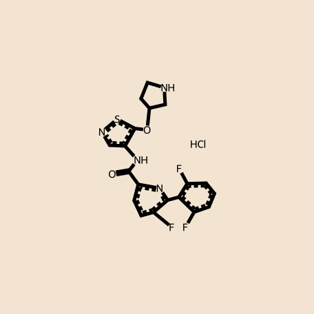 Cl.O=C(Nc1cnsc1OC1CCNC1)c1ccc(F)c(-c2c(F)cccc2F)n1